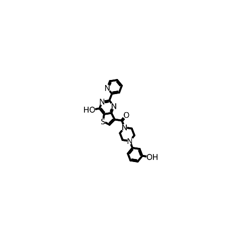 O=C(c1csc2c(O)nc(-c3ccccn3)nc12)N1CCN(c2cccc(O)c2)CC1